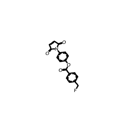 O=C(Oc1ccc(N2C(=O)C=CC2=O)cc1)c1ccc(CF)cc1